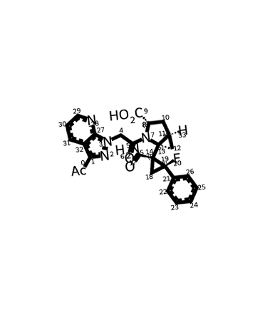 CC(=O)c1nn(CC(=O)N2[C@H](C(=O)O)C[C@H]3C[C@@]32[C@@]2(C(N)=O)C[C@@]2(F)c2ccccc2)c2ncccc12